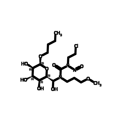 CCCCO[C@H]1O[C@H](C(O)N(CCCOC)C(=O)N(CCCl)N=O)[C@@H](O)[C@H](O)[C@H]1O